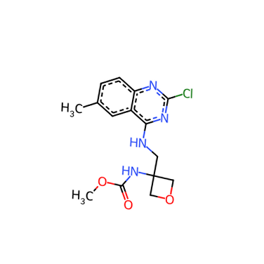 COC(=O)NC1(CNc2nc(Cl)nc3ccc(C)cc23)COC1